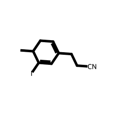 CC1CC=C(CCC#N)C=C1I